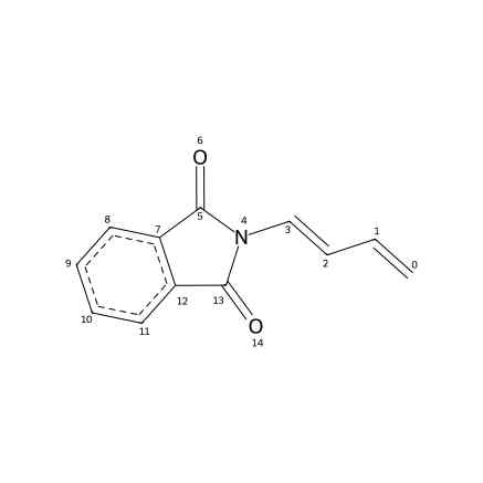 C=CC=CN1C(=O)c2ccccc2C1=O